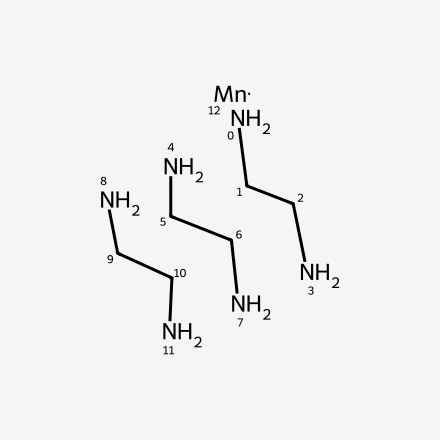 NCCN.NCCN.NCCN.[Mn]